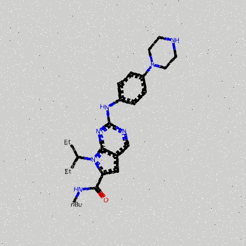 CCCCNC(=O)c1cc2cnc(Nc3ccc(N4CCNCC4)cc3)nc2n1C(CC)CC